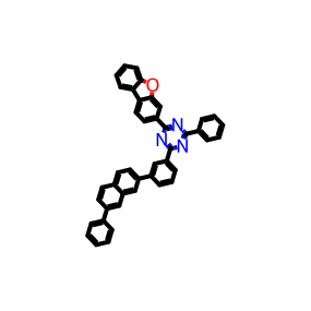 c1ccc(-c2ccc3ccc(-c4cccc(-c5nc(-c6ccccc6)nc(-c6ccc7c(c6)oc6ccccc67)n5)c4)cc3c2)cc1